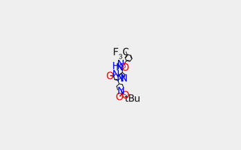 CC(C)(C)OC(=O)N1CCC(c2cc(=O)[nH]c3c(-c4nnc(-c5cccc(C(F)(F)F)c5)o4)cnn23)CC1